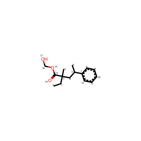 CCC(C)(CC(C)c1ccccc1)C(=O)OCO